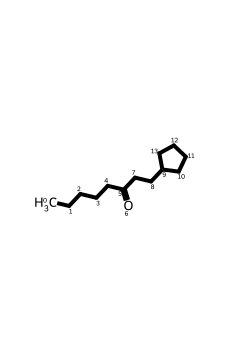 CCCCCC(=O)CCC1CCCC1